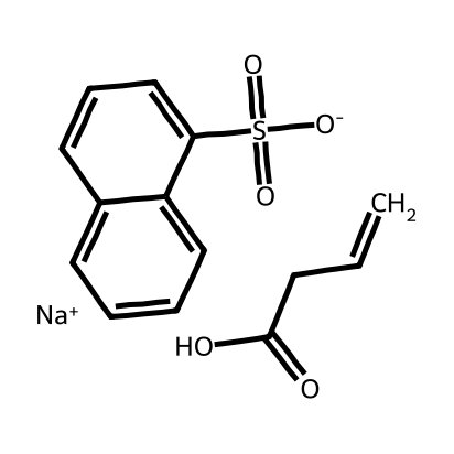 C=CCC(=O)O.O=S(=O)([O-])c1cccc2ccccc12.[Na+]